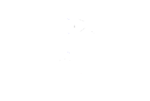 CCO[C@H]1CC[C@](C)(N2CCC(Nc3cc(C#N)ccc3N)CC2)CC1